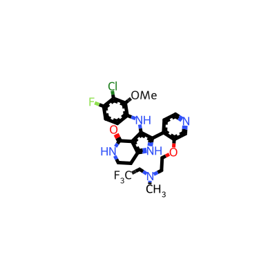 COc1c(Nc2c(-c3ccncc3OCCN(C)CC(F)(F)F)[nH]c3c2C(=O)NCC3)ccc(F)c1Cl